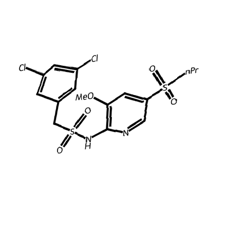 CCCS(=O)(=O)c1cnc(NS(=O)(=O)Cc2cc(Cl)cc(Cl)c2)c(OC)c1